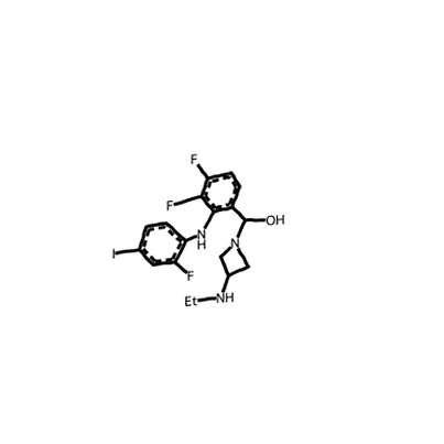 CCNC1CN(C(O)c2ccc(F)c(F)c2Nc2ccc(I)cc2F)C1